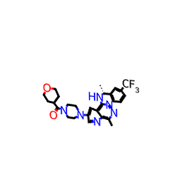 Cc1nnc(N[C@H](C)c2cccc(C(F)(F)F)c2)c2cc(N3CCN(C(=O)C4CCOCC4)CC3)cnc12